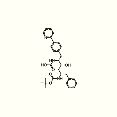 CC(C)(C)OC(=O)N[C@@H](Cc1ccccc1)C[C@@H](O)[C@H](Cc1ccc(-c2ccccn2)cc1)NC(=O)O